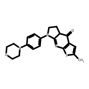 Cc1cc2c(s1)N=C1C(CCN1c1ccc(N3CCOCC3)cc1)C2=O